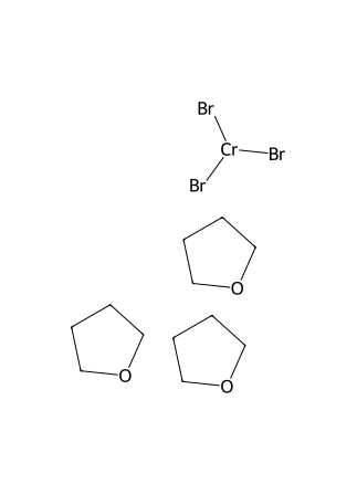 C1CCOC1.C1CCOC1.C1CCOC1.[Br][Cr]([Br])[Br]